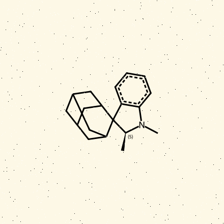 C[C@@H]1N(C)c2ccccc2C12C1CC3CC(C1)CC2C3